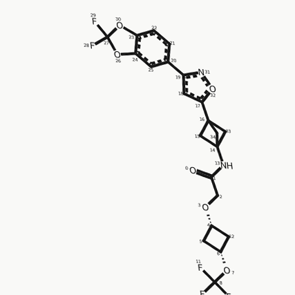 O=C(CO[C@H]1C[C@@H](OC(F)(F)F)C1)NC12CC(c3cc(-c4ccc5c(c4)OC(F)(F)O5)no3)(C1)C2